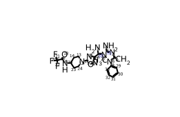 C=C(/N=C(N)\N=C(/N)c1noc(N2CCC(NC(=O)C(F)(F)F)CC2)n1)N(C)c1ccccc1